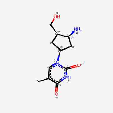 Cc1cn([C@H]2C[C@@H](CO)[C@@H](N)C2)c(=O)[nH]c1=O